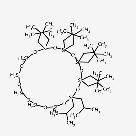 CC(C)C[Si]1(CC(C)C)O[SiH2]O[SiH2]O[SiH2]O[SiH2]O[SiH2]O[Si](CC(C)C)(CC(C)C)O[Si](CC(C)C)(CC(C)C)O[Si](CC(C)C)(CC(C)C)O[Si](CC(C)C)(CC(C)C)O1